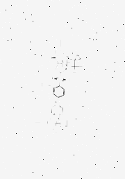 CC(C)(C)N1CCN(c2ccc(S(=O)(=O)C3CC(C(=O)O)N(C(=O)C4(C(F)(F)F)CC4)C3)c(Cl)c2)CC1